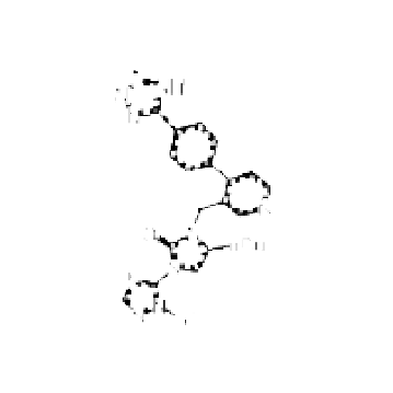 CCCCc1cn(-c2ncnn2CCC)c(=O)n1Cc1cnccc1-c1ccc(-c2nnn[nH]2)cc1